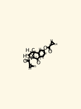 CC1C2C(=O)c3ccc(OC(=O)C4CC4)cc3C1(C)CCN2C(=O)C1CC1